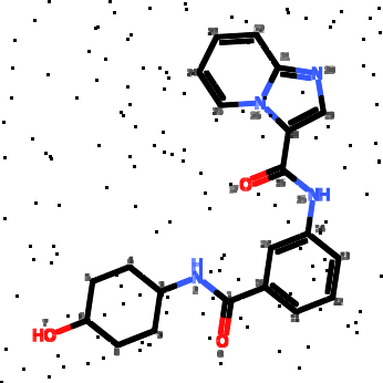 O=C(NC1CCC(O)CC1)c1cccc(NC(=O)c2cnc3ccccn23)c1